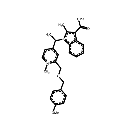 COC(=O)c1c(C)n(C(C)c2cc[n+](C)c(COCc3ccc(OC)cc3)c2)c2ccccc12